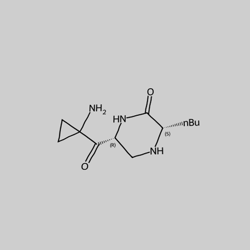 CCCC[C@@H]1NC[C@H](C(=O)C2(N)CC2)NC1=O